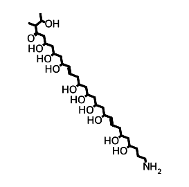 CC(O)C(C)C(=O)CC(O)CC(O)CC(O)/C=C/CC(O)CC(O)CC(O)CC(O)/C=C/CC(O)CC(O)CCCN